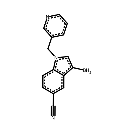 Bc1cn(Cc2cccnc2)c2ccc(C#N)cc12